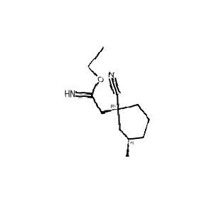 CCOC(=N)C[C@@]1(C#N)CCC[C@@H](C)C1